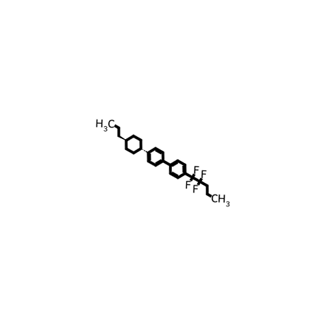 CCCC(F)(F)C(F)(F)c1ccc(-c2ccc([C@H]3CC[C@H](CCC)CC3)cc2)cc1